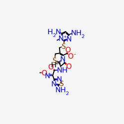 CO/N=C(\C(=O)NC1C(=O)N2C(C(=O)[O-])=C(CSc3nc(N)cc(N)[n+]3C)CS[C@H]12)c1nsc(N)n1